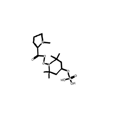 CN1CCCC1C(=O)OON1C(C)(C)CC(OP(=O)(O)O)CC1(C)C